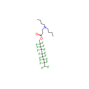 CCCCN(CCCC)CCC(=O)OCC(F)(F)C(F)(F)C(F)(F)C(F)(F)C(F)(F)C(F)(F)C(F)(F)C(F)F